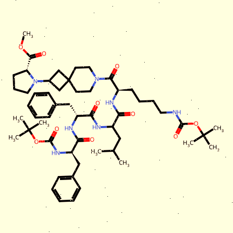 COC(=O)[C@H]1CCCN1C1CC2(CCN(C(=O)[C@@H](CCCCNC(=O)OC(C)(C)C)NC(=O)C(CC(C)C)NC(=O)[C@@H](Cc3ccccc3)NC(=O)[C@@H](Cc3ccccc3)NC(=O)OC(C)(C)C)CC2)C1